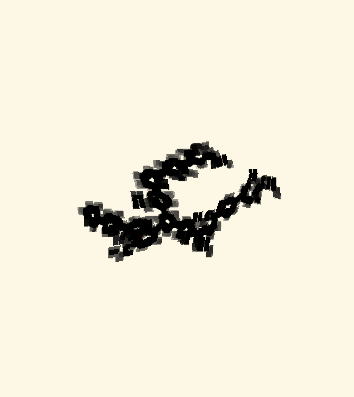 C=C/N=C\C(=C/C)c1ccc(C(=C)/C=C\C=C(/N)c2ccc(-c3cc(C(/C=C\C(=C)c4cccc(-c5ccc(/C(C=C)=C/C=C\N)cn5)n4)=C/N)cc(C(/C=C\C(=C)c4cccc(-c5ccc(-c6cccnc6)cn5)n4)=C/N)c3)cn2)nc1